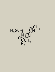 Cc1ncc(-c2cc3c(cn2)C(C)(C)C(=O)N3c2cn(C)cn2)cn1